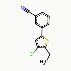 CCc1sc(-c2cccc(C#N)c2)cc1Cl